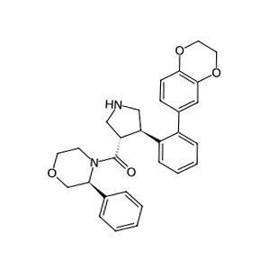 O=C([C@@H]1CNC[C@H]1c1ccccc1-c1ccc2c(c1)OCCO2)N1CCOC[C@@H]1c1ccccc1